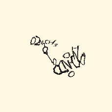 C[C@H](c1ccc(COc2cccc3c2CN([C@H]2CCC(=O)NC2=O)C3=O)cc1)N1CC2CC1CO2